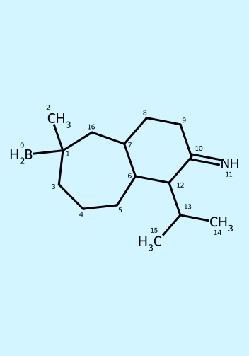 BC1(C)CCCC2C(CCC(=N)C2C(C)C)C1